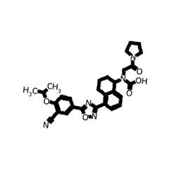 CC(C)Oc1ccc(-c2nc(-c3cccc4c3CCCC4N(CC(=O)N3CCCC3)C(=O)O)no2)cc1C#N